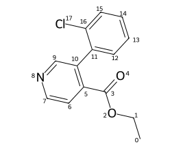 CCOC(=O)c1ccncc1-c1ccccc1Cl